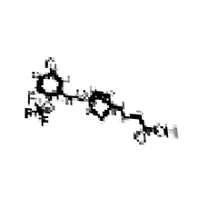 O=C(O)CCCC12CCC(OCc3cc(Cl)ccc3OC(F)(F)F)(CC1)C2